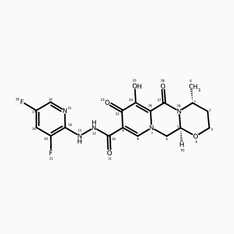 C[C@@H]1CCO[C@H]2Cn3cc(C(=O)NNc4ncc(F)cc4F)c(=O)c(O)c3C(=O)N12